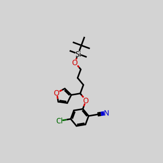 CC(C)(C)[Si](C)(C)OCCCC(Oc1cc(Cl)ccc1C#N)c1ccoc1